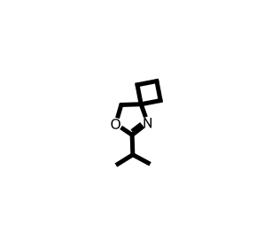 CC(C)C1=NC2(CCC2)CO1